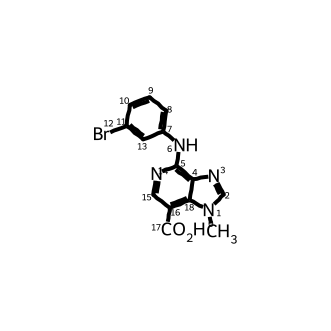 Cn1cnc2c(Nc3cccc(Br)c3)ncc(C(=O)O)c21